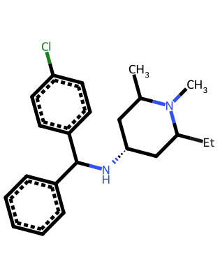 CCC1C[C@H](NC(c2ccccc2)c2ccc(Cl)cc2)CC(C)N1C